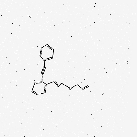 C=CCOC/C=C/c1ccccc1C#Cc1ccccc1